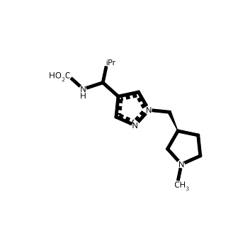 CC(C)C(NC(=O)O)c1cnn(C[C@H]2CCN(C)C2)c1